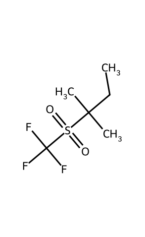 CCC(C)(C)S(=O)(=O)C(F)(F)F